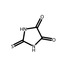 O=C1NC(=S)NC1=O